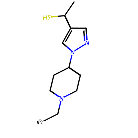 CC(C)CN1CCC(n2cc(C(C)S)cn2)CC1